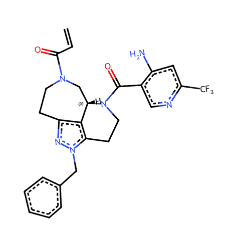 C=CC(=O)N1CCc2nn(Cc3ccccc3)c3c2[C@H](C1)N(C(=O)c1cnc(C(F)(F)F)cc1N)CC3